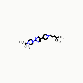 CC(C)CCCN1CCC(c2cnc(N3CCN(C(C)C)CC3)nc2)CC1